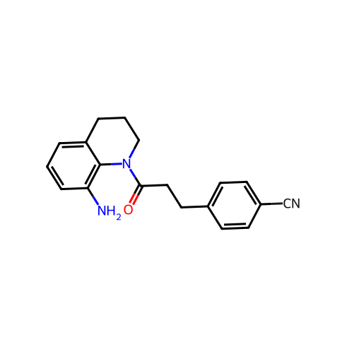 N#Cc1ccc(CCC(=O)N2CCCc3cccc(N)c32)cc1